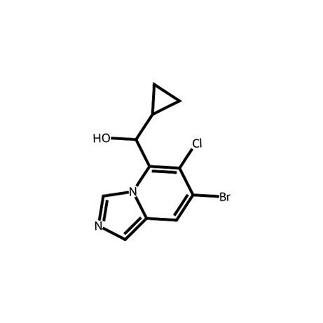 OC(c1c(Cl)c(Br)cc2cncn12)C1CC1